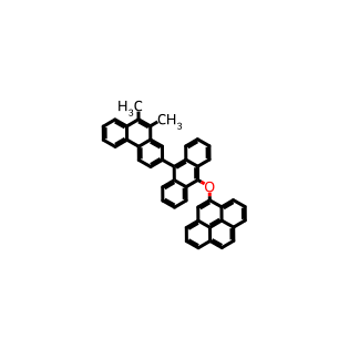 Cc1c(C)c2cc(-c3c4ccccc4c(Oc4cc5cccc6ccc7cccc4c7c65)c4ccccc34)ccc2c2ccccc12